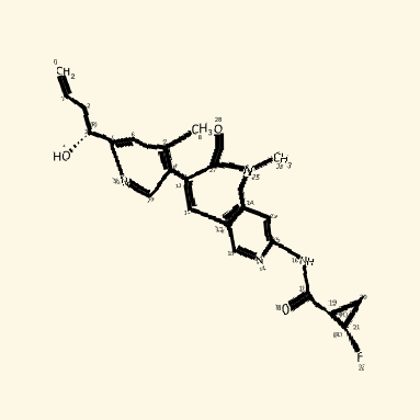 C=CC[C@@H](O)c1cc(C)c(-c2cc3cnc(NC(=O)[C@H]4C[C@H]4F)cc3n(C)c2=O)cn1